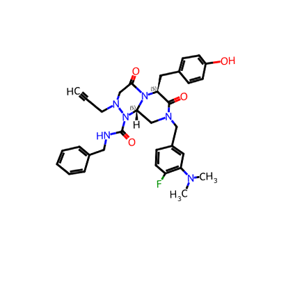 C#CCN1CC(=O)N2[C@@H](Cc3ccc(O)cc3)C(=O)N(Cc3ccc(F)c(N(C)C)c3)C[C@@H]2N1C(=O)NCc1ccccc1